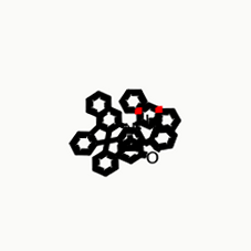 c1ccc(N(c2ccccc2)c2ccc3c(c2)C2(c4ccccc4-3)c3ccccc3-c3c2c(N(c2ccccc2)c2cccc4oc5ccccc5c24)cc2ccccc32)cc1